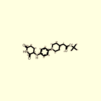 CC(C)(C)OC(=O)CC1CCN(c2ccc(NC3CCC(=O)NC3=O)cc2)CC1